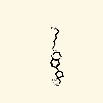 CCCCCOC[C@@H]1COc2cc(C3CCC(N)(CO)C3)ccc2O1